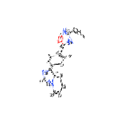 Cc1noc(-c2ccc(-c3n[c]n4ccccc34)cc2)n1